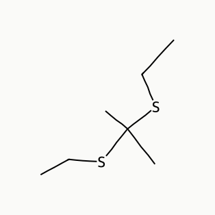 CCSC(C)(C)SCC